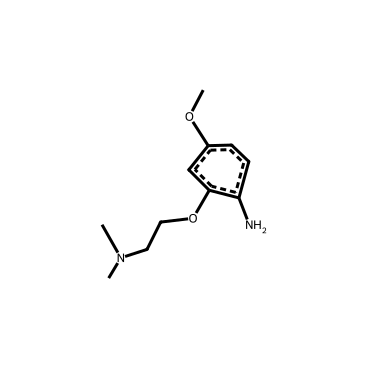 COc1ccc(N)c(OCCN(C)C)c1